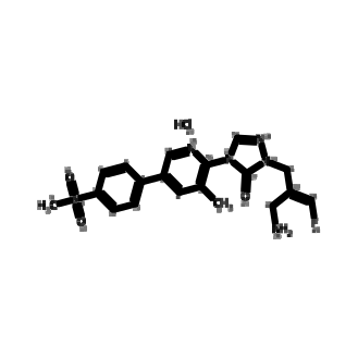 Cc1cc(-c2ccc(S(C)(=O)=O)cc2)cnc1-n1cnn(C/C(=C/F)CN)c1=O.Cl